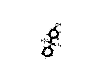 CS(C)(c1ccccc1)c1ccc(O)cc1